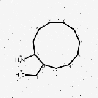 CCC1CCCCCCCCCC1N